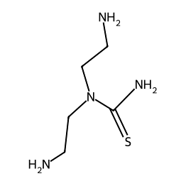 NCCN(CCN)C(N)=S